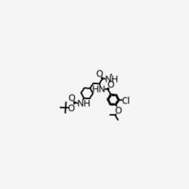 CNC(=O)C(CC1CCC(NC(=O)OC(C)(C)C)CC1)NC(=O)c1ccc(OC(C)C)c(Cl)c1